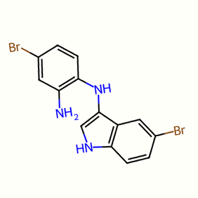 Nc1cc(Br)ccc1Nc1c[nH]c2ccc(Br)cc12